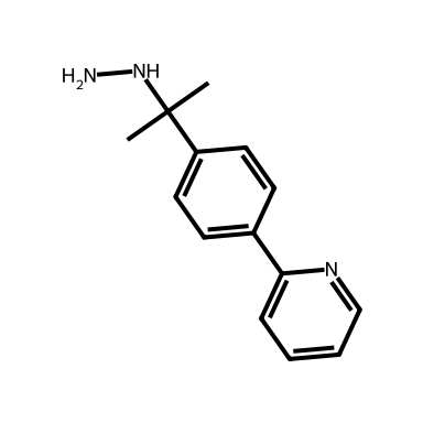 CC(C)(NN)c1ccc(-c2ccccn2)cc1